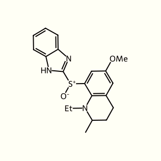 CCN1c2c(cc(OC)cc2[S+]([O-])c2nc3ccccc3[nH]2)CCC1C